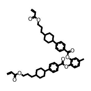 C=CC(=O)OCCCC1CCC(c2ccc(C(=O)Oc3ccc(C)cc3OC(=O)c3ccc(C4CCC(CCCOC(=O)C=C)CC4)cc3)cc2)CC1